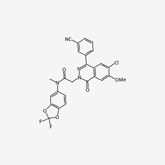 COc1cc2c(=O)n(CC(=O)N(C)c3ccc4c(c3)OC(F)(F)O4)nc(-c3cccc(C#N)c3)c2cc1Cl